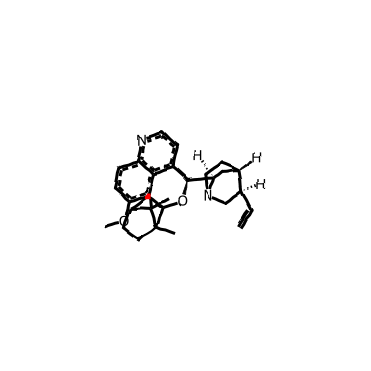 C=C[C@H]1CN2CC[C@H]1C[C@@H]2[C@@H](OC1CC2CCC1(C)C2(C)C)c1ccnc2ccc(OC)cc12